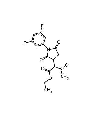 CCOC(=O)C(C1CC(=O)N(c2cc(F)cc(F)c2)C1=O)[S+](C)[O-]